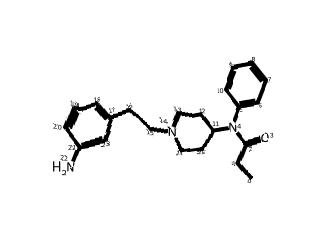 CCC(=O)N(c1ccccc1)C1CCN(CCc2cccc(N)c2)CC1